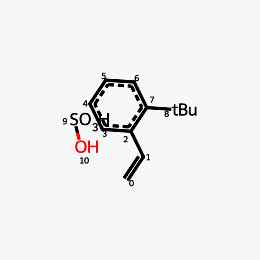 C=Cc1ccccc1C(C)(C)C.O=S(=O)(O)O